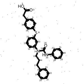 O=C(O)Cc1ccc(Sc2cccc(N(CCCc3ccccc3)C(=O)Nc3ccccc3)c2)cc1